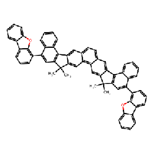 CC1(C)c2cc3c(ccc4cc5c(cc43)C(C)(C)c3cc(-c4cccc6c4oc4ccccc46)c4ccccc4c3-5)cc2-c2c1cc(-c1cccc3c1oc1ccccc13)c1ccccc21